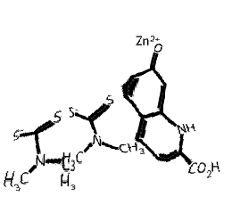 CN(C)C(=S)[S-].CN(C)C(=S)[S-].O=C(O)c1ccc2ccc(=O)cc-2[nH]1.[Zn+2]